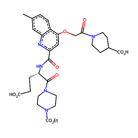 CCOC(=O)N1CCN(C(=O)[C@H](CCC(=O)O)NC(=O)c2cc(OCC(=O)N3CCC(C(=O)O)CC3)c3ccc(C)cc3n2)CC1